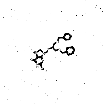 Nc1nc2c(c(=O)[nH]1)NCN2COC(COCc1ccccc1)COCc1ccccc1